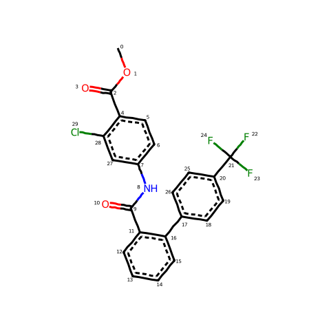 COC(=O)c1ccc(NC(=O)c2ccccc2-c2ccc(C(F)(F)F)cc2)cc1Cl